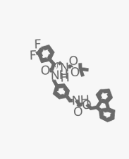 CC(C)(C)OC(=O)NC[C@H](C(=O)NCc1ccc(CNC(=O)OCC2c3ccccc3-c3ccccc32)cc1)c1ccc(F)c(F)c1